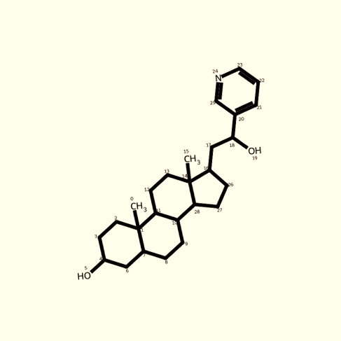 CC12CCC(O)CC1CCC1C2CCC2(C)C(CC(O)c3cccnc3)CCC12